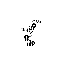 COc1ccc(CN(CCOc2cccnc2OC[C@H]2CCCN2)C(=O)OC(C)(C)C)cc1